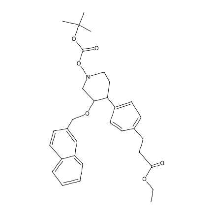 CCOC(=O)CCc1ccc(C2CCN(OC(=O)OC(C)(C)C)CC2OCc2ccc3ccccc3c2)cc1